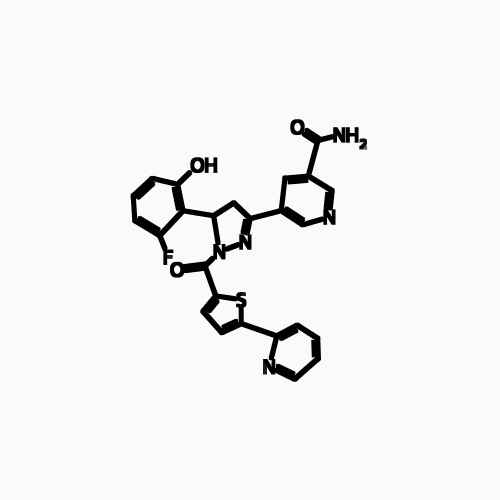 NC(=O)c1cncc(C2=NN(C(=O)c3ccc(-c4ccccn4)s3)C(c3c(O)cccc3F)C2)c1